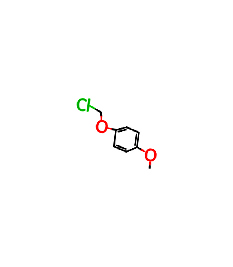 COc1ccc(OCCl)cc1